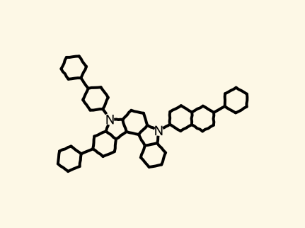 C1CCC(C2CCC(N3C4CC(C5CCCCC5)CCC4C4C5C6CCCCC6N(C6CCC7CC(C8CCCCC8)CCC7C6)C5CCC43)CC2)CC1